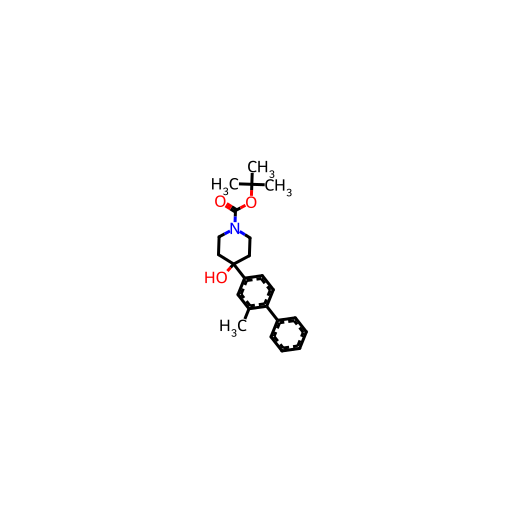 Cc1cc(C2(O)CCN(C(=O)OC(C)(C)C)CC2)ccc1-c1ccccc1